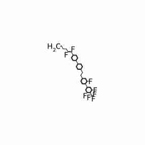 C=CCC/C(F)=C(\F)c1ccc(-c2ccc(CCc3ccc(-c4cc(F)c(C(F)(F)F)c(F)c4)c(F)c3)cc2)cc1